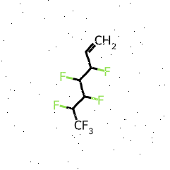 C=CC(F)C(F)C(F)C(F)C(F)(F)F